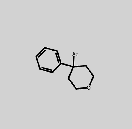 CC(=O)C1(c2ccccc2)CCOCC1